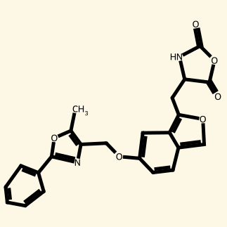 Cc1oc(-c2ccccc2)nc1COc1ccc2coc(CC3NC(=O)OC3=O)c2c1